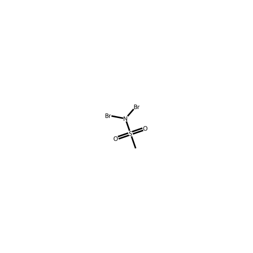 CS(=O)(=O)N(Br)Br